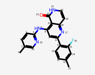 Cc1ccc(Nc2cc(-c3ccc(C)cc3F)nc3cc[nH]c(=O)c23)nc1